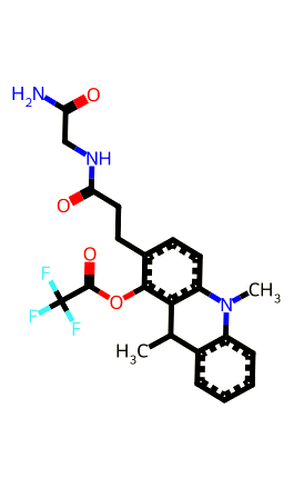 CC1c2ccccc2N(C)c2ccc(CCC(=O)NCC(N)=O)c(OC(=O)C(F)(F)F)c21